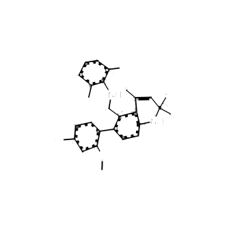 COc1cc(F)ccc1-c1ccc2c(c1CNc1c(C)cccc1C)C(C)=CC(C)(C)N2